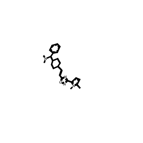 Cc1ccc(-c2noc(/C=C/C3CCC(C(c4ccccc4)N(C)C)CC3)n2)n1C